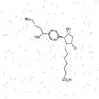 CC(C)(C)CCCC(O)c1ccc([C@H]2C(O)C[C@@H](Cl)[C@@H]2CCCCCCC(=O)O)cc1